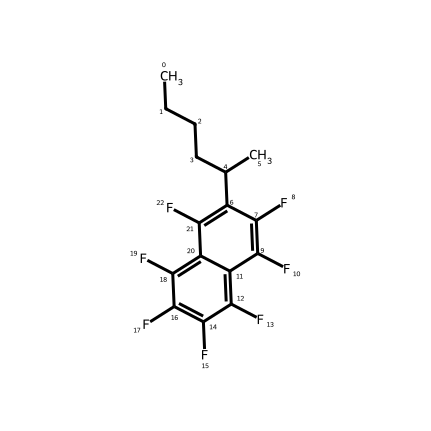 CCCCC(C)c1c(F)c(F)c2c(F)c(F)c(F)c(F)c2c1F